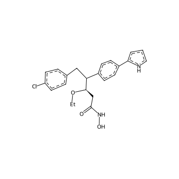 CCO[C@H](CC(=O)NO)C(Cc1ccc(Cl)cc1)c1ccc(-c2ccc[nH]2)cc1